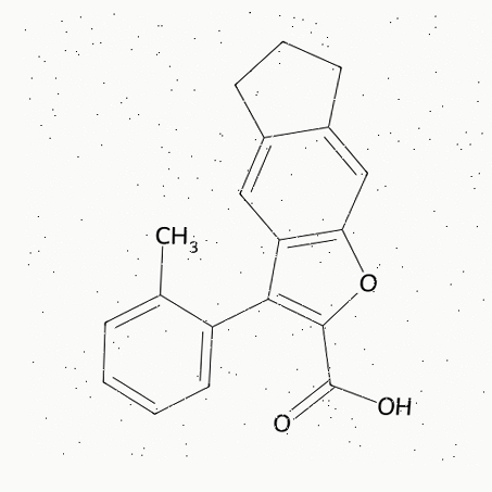 Cc1ccccc1-c1c(C(=O)O)oc2cc3c(cc12)CCC3